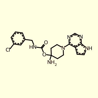 NC1(OC(=O)NCc2cccc(Cl)c2)CCN(c2ncnc3[nH]ccc23)CC1